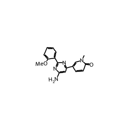 COc1ccccc1-c1nc(N)cc(-c2ccc(=O)n(C)c2)n1